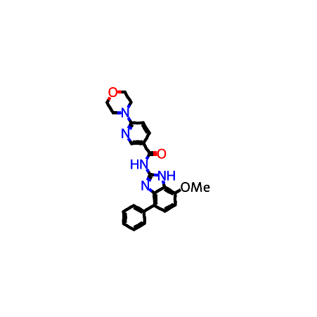 COc1ccc(-c2ccccc2)c2nc(NC(=O)c3ccc(N4CCOCC4)nc3)[nH]c12